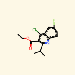 CCOC(=O)c1c(C(C)C)nc2ccc(F)cc2c1Cl